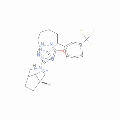 COc1cc(N2CC3CC[C@@H](C2)[C@@H]3Nc2nc3n(n2)CCCCC3c2cccc(C(F)(F)F)c2)cnn1